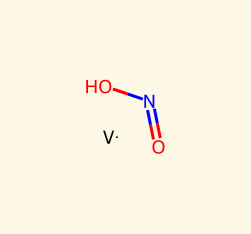 O=NO.[V]